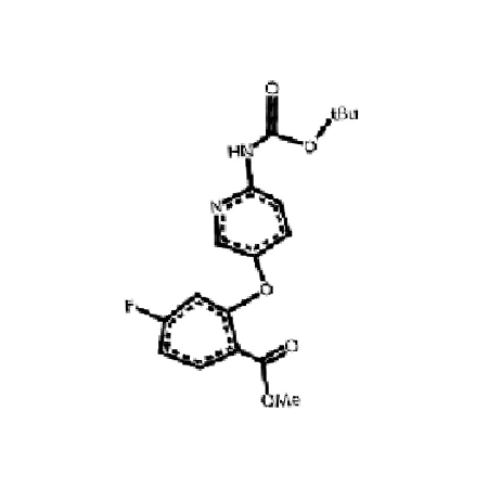 COC(=O)c1ccc(F)cc1Oc1ccc(NC(=O)OC(C)(C)C)nc1